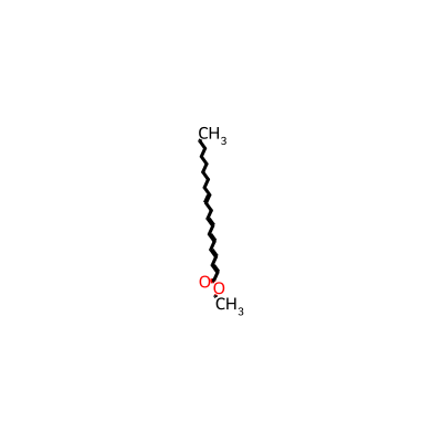 CCCCCCCC/C=C/C/C=C/C=CC=CC=CC(=O)OCC